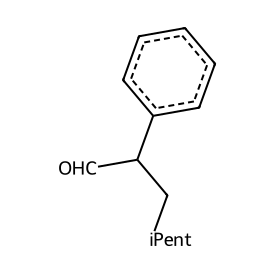 CCCC(C)CC(C=O)c1ccccc1